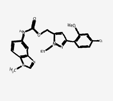 CCn1nc(-c2ccc(Cl)cc2OC)cc1COC(=O)Nc1ccc2c(c1)ncn2C